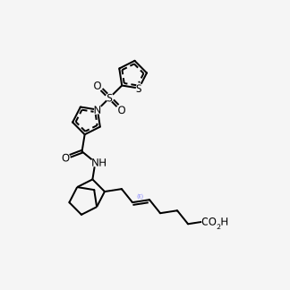 O=C(O)CCC/C=C/CC1C2CCC(C2)C1NC(=O)c1ccn(S(=O)(=O)c2cccs2)c1